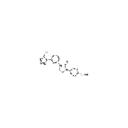 COc1ccc(N2CCN(c3cccc(-c4nncn4C(C)C)n3)C2=O)cc1